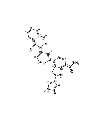 Cc1c(-c2ccc(C(N)=O)c3[nH]c(-c4cnn(C)c4)cc23)cccc1-n1cnc2ccccc2c1=O